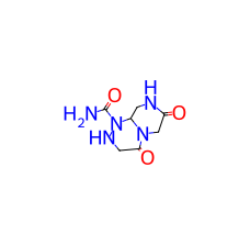 NC(=O)N1NCC(=O)N2CC(=O)NCC21